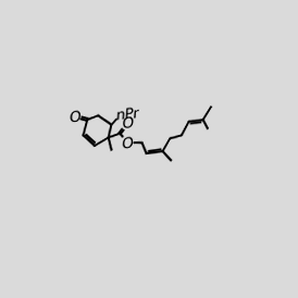 CCCC1CC(=O)C=CC1(C)C(=O)OCC=C(C)CCC=C(C)C